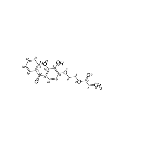 C=CC(=O)OCCOc1ccc(C(=O)c2ccccc2)c(O)c1O